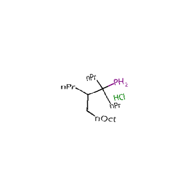 CCCCCCCCCC(CCC)C(P)(CCC)CCC.Cl